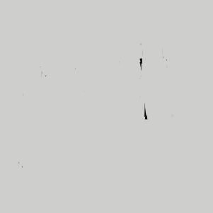 N#Cc1cncc(C2=C[C@H]3CCCN[C@H]3C2)c1